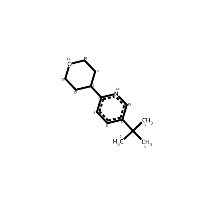 CC(C)(C)c1ccc(C2CCOCC2)nc1